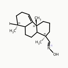 C[C@]1(I)CCC=C2C1CCC1[C@@]2(C)CCC[C@@]1(C)/C=N/O